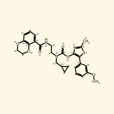 COc1cccc(-c2sc(C)nc2OC(=O)N(CCNC(=O)c2cccc3c2OCCO3)CC2CC2)c1